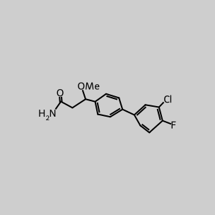 COC(CC(N)=O)c1ccc(-c2ccc(F)c(Cl)c2)cc1